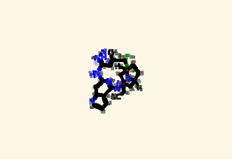 C/C(=C\C(=N/N)Nc1cc2ncccc2c(NC2C[C@H]3CC[C@@H](C2)N3CCC#N)n1)C(F)F